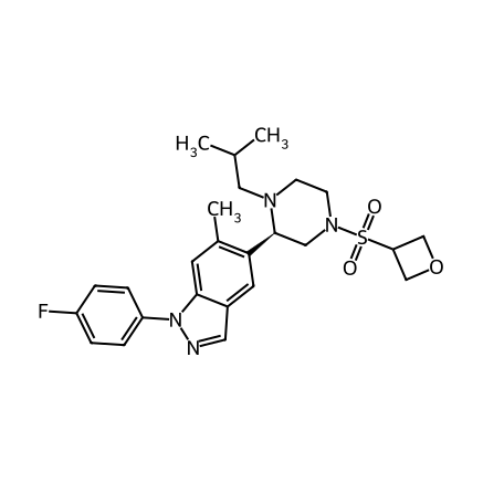 Cc1cc2c(cnn2-c2ccc(F)cc2)cc1[C@@H]1CN(S(=O)(=O)C2COC2)CCN1CC(C)C